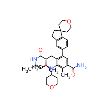 CCN(c1c(C)c(C(N)=O)cc(-c2ccc3c(c2)CCC32CCOCC2)c1Cc1c(C)cc(C)[nH]c1=O)C1CCOCC1